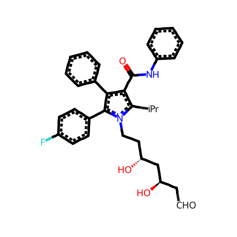 CC(C)c1c(C(=O)Nc2ccccc2)c(-c2ccccc2)c(-c2ccc(F)cc2)n1CC[C@@H](O)C[C@H](O)CC=O